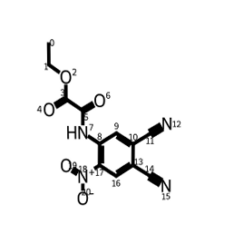 CCOC(=O)C(=O)Nc1cc(C#N)c(C#N)cc1[N+](=O)[O-]